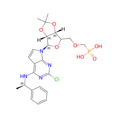 C[C@@H](Nc1nc(Cl)nc2c1ccn2[C@@H]1OC(COCP(=O)(O)O)[C@H]2OC(C)(C)O[C@H]21)c1ccccc1